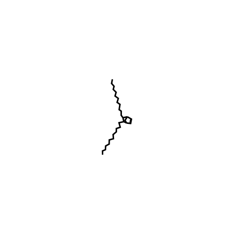 CCCCCCCCCCCCC1C2C=CC(C2)C1CCCCCCCCCCCC